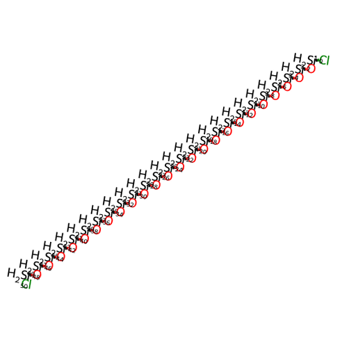 Cl[SiH2]O[SiH2]O[SiH2]O[SiH2]O[SiH2]O[SiH2]O[SiH2]O[SiH2]O[SiH2]O[SiH2]O[SiH2]O[SiH2]O[SiH2]O[SiH2]O[SiH2]O[SiH2]O[SiH2]O[SiH2]O[SiH2]O[SiH2]O[SiH2]O[SiH2]O[SiH2]O[SiH2]O[SiH2]Cl